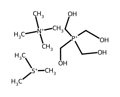 C[N+](C)(C)C.C[S+](C)C.OC[P+](CO)(CO)CO